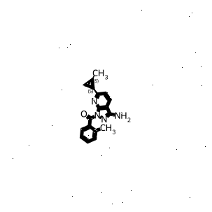 Cc1ccccc1C(=O)n1nc(N)c2ccc([C@H]3C[C@@H]3C)nc21